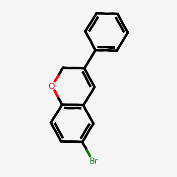 Brc1ccc2c(c1)C=C(c1ccccc1)CO2